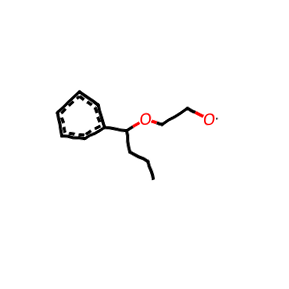 CCCC(OCC[O])c1ccccc1